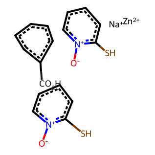 O=C(O)c1ccccc1.[Na+].[O-][n+]1ccccc1S.[O-][n+]1ccccc1S.[Zn+2]